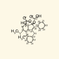 CCc1ccc2c(c1CC)C(Cc1ccccc1)=C(c1ccccc1)C2(OC(=O)O)OC(=O)O